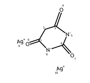 O=C1CC(=O)[N-]C(=O)[N-]1.[Ag+].[Ag+]